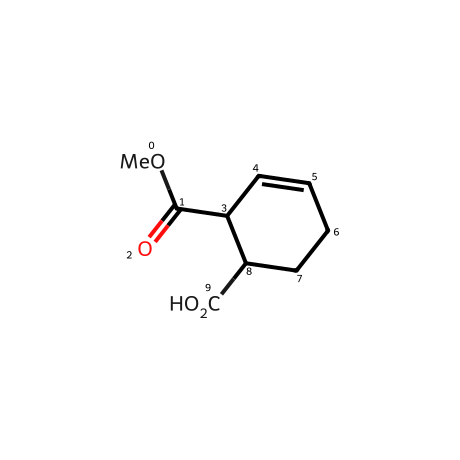 COC(=O)C1C=CCCC1C(=O)O